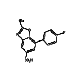 CC(C)(C)c1nc2cc(C(=O)O)cc(-c3ccc(F)cc3)c2o1